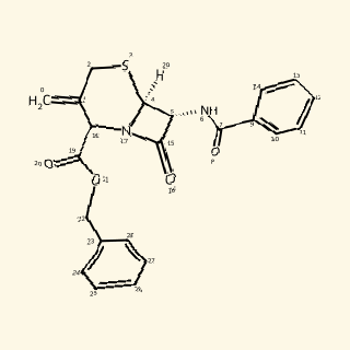 C=C1CS[C@H]2[C@H](NC(=O)c3ccccc3)C(=O)N2C1C(=O)OCc1ccccc1